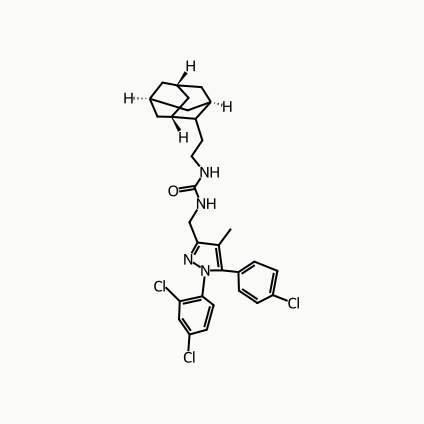 Cc1c(CNC(=O)NCCC2[C@H]3C[C@@H]4C[C@@H](C[C@H]2C4)C3)nn(-c2ccc(Cl)cc2Cl)c1-c1ccc(Cl)cc1